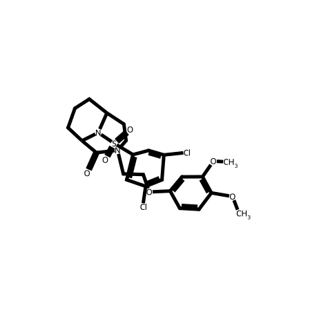 COc1ccc(OCCN2CCC3CCCC(C2=O)N3S(=O)(=O)c2cc(Cl)cc(Cl)c2)cc1OC